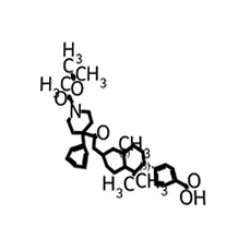 CC(C)(C)OC(=O)N1CCC(C(=O)CC2CCC3C(C)(C)[C@@H](c4ccc(C(=O)O)cc4)CC[C@]3(C)C2)(c2ccccc2)CC1